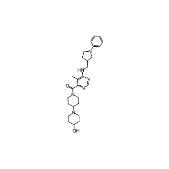 Cc1c(NCC2CCN(c3ccccc3)C2)ncnc1C(=O)N1CCC(N2CCC(O)CC2)CC1